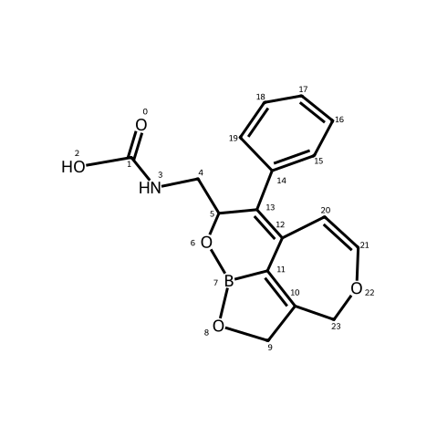 O=C(O)NCC1OB2OCC3=C2C(=C1c1ccccc1)C=COC3